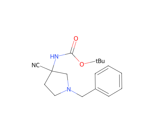 CC(C)(C)OC(=O)NC1(C#N)CCN(Cc2ccccc2)C1